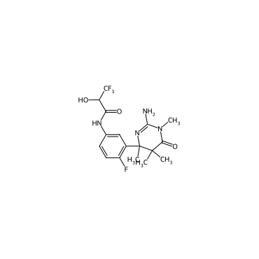 CN1C(=O)C(C)(C)C(C)(c2cc(NC(=O)C(O)C(F)(F)F)ccc2F)N=C1N